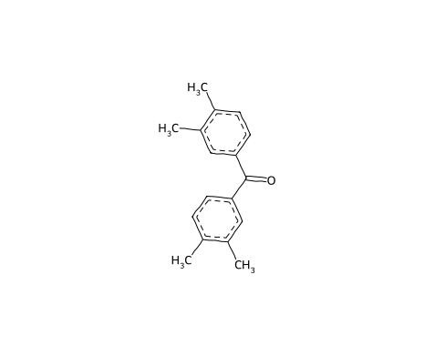 Cc1ccc(C(=O)c2ccc(C)c(C)c2)cc1C